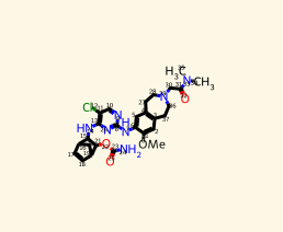 COc1cc2c(cc1Nc1ncc(Cl)c(NC3C4C=CC(C4)C3OC(N)=O)n1)CCN(CC(=O)N(C)C)CC2